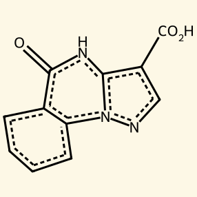 O=C(O)c1cnn2c1[nH]c(=O)c1ccccc12